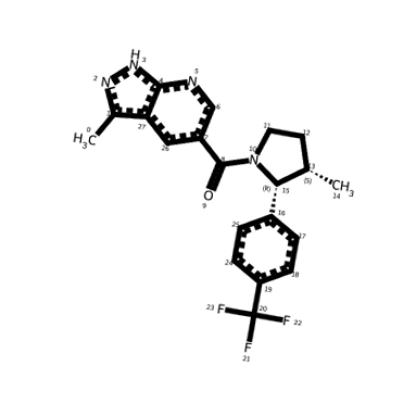 Cc1n[nH]c2ncc(C(=O)N3CC[C@H](C)[C@@H]3c3ccc(C(F)(F)F)cc3)cc12